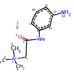 C[N+](C)(C)CC(=O)Nc1cccc(N)c1.[I-]